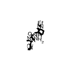 CCn1cc2c(CNC(=O)c3nc(C)c(-c4ncco4)nc3N)cccc2n1